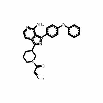 C=CC(=O)N1CCCC(c2nn(-c3ccc(Oc4ccccc4)cc3)c3c(N)nccc23)C1